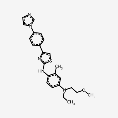 CCN(CCOC)c1ccc(Nc2nc(-c3ccc(-n4ccnc4)cc3)cs2)c(C)c1